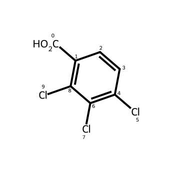 O=C(O)c1ccc(Cl)c(Cl)c1Cl